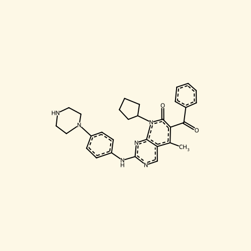 Cc1c(C(=O)c2ccccc2)c(=O)n(C2CCCC2)c2nc(Nc3ccc(N4CCNCC4)cc3)ncc12